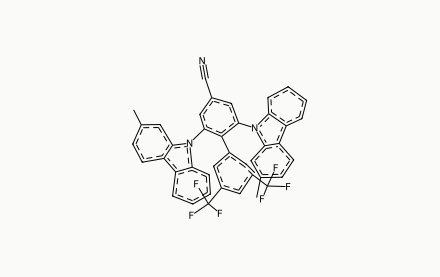 Cc1ccc2c3ccccc3n(-c3cc(C#N)cc(-n4c5ccccc5c5ccc(C)cc54)c3-c3cc(C(F)(F)F)cc(C(F)(F)F)c3)c2c1